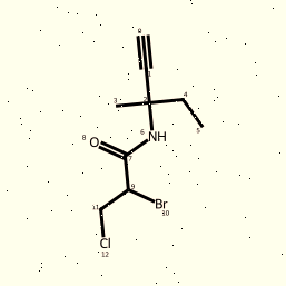 C#CC(C)(CC)NC(=O)C(Br)CCl